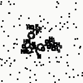 CC(C)(C)OC(=O)[C@@H]1CC[C@@](CC#N)(n2nc(Nc3ccc([C@@H](O)C(F)(F)F)cc3)c3c(=O)[nH]ccc32)CO1